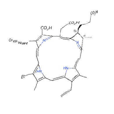 C=Cc1c(C)c2cc3nc(c(CC(=O)O)c4nc(cc5[nH]c(cc1[nH]2)c(C)c5CC)C(C)=C4C(=O)O)[C@@H](CCC(=O)O)[C@@H]3C.[Cu].[KH].[NaH]